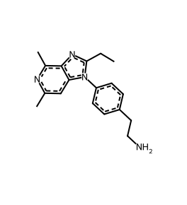 CCc1nc2c(C)nc(C)cc2n1-c1ccc(CCN)cc1